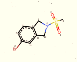 CS(=O)(=O)N1Cc2ccc(Br)cc2C1